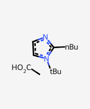 CC(=O)O.CCCCc1nccn1C(C)(C)C